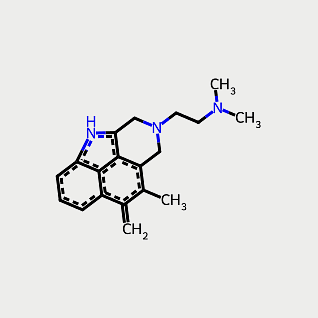 C=c1c(C)c2c3c([nH]c4cccc1c43)CN(CCN(C)C)C2